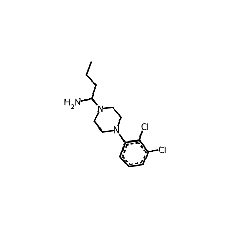 CCCC(N)N1CCN(c2cccc(Cl)c2Cl)CC1